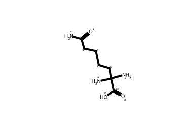 NC(=O)CCCCC(N)(N)C(=O)O